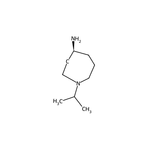 CC(C)N1CCC[C@H](N)CC1